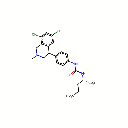 CN1Cc2c(Cl)cc(Cl)cc2C(c2ccc(NC(=O)N[C@@H](CCC(=O)O)C(=O)O)cc2)C1